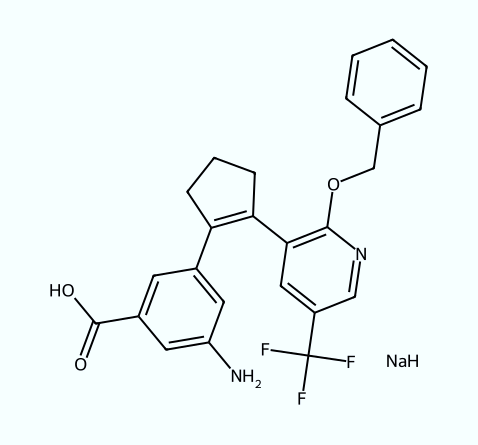 Nc1cc(C(=O)O)cc(C2=C(c3cc(C(F)(F)F)cnc3OCc3ccccc3)CCC2)c1.[NaH]